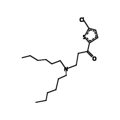 CCCCCCN(CCCCCC)CCC(=O)c1ccc(Cl)s1